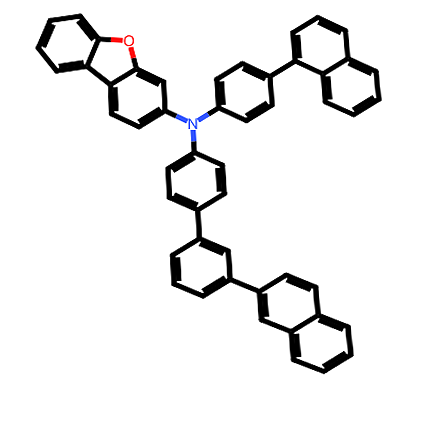 c1cc(-c2ccc(N(c3ccc(-c4cccc5ccccc45)cc3)c3ccc4c(c3)oc3ccccc34)cc2)cc(-c2ccc3ccccc3c2)c1